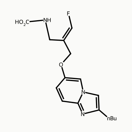 CCCCc1cn2cc(OC/C(=C/F)CNC(=O)O)ccc2n1